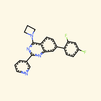 Fc1ccc(-c2ccc3c(N4CCC4)nc(-c4cccnc4)nc3c2)c(F)c1